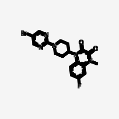 Cn1c(=O)c(=O)n(C2CCN(c3ncc(Br)cn3)CC2)c2ccc(F)cc21